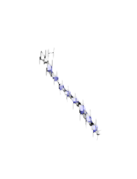 N=N/N=N/N=N/N=N/N=N/N=N/N=N/N=N/N=N/F